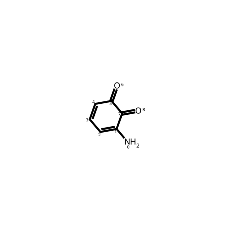 NC1=CC=CC(=O)C1=O